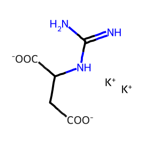 N=C(N)NC(CC(=O)[O-])C(=O)[O-].[K+].[K+]